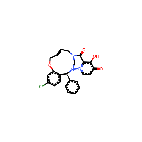 O=C1c2c(O)c(=O)ccn2N2CN1C/C=C/COc1cc(Cl)ccc1[C@@H]2c1ccccc1